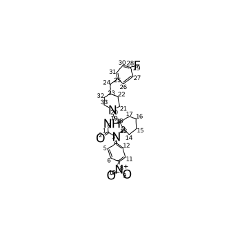 NC(=O)N(c1ccc([N+](=O)[O-])cc1)[C@@H]1CCCC[C@H]1CN1CCC(Cc2ccc(F)cc2)CC1